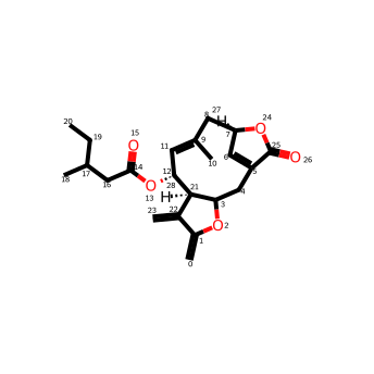 C=C1OC2CC3=C[C@@H](C/C(C)=C/[C@@H](OC(=O)CC(C)CC)[C@@H]2C1=C)OC3=O